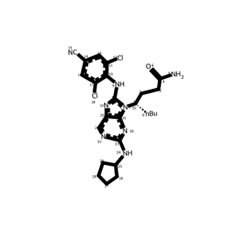 CCCC[C@@H](CCC(N)=O)n1c(Nc2c(Cl)cc(C#N)cc2Cl)nc2cnc(NC3CCCC3)nc21